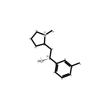 Cc1cccc([C@H](O)CC2CCCN2C)c1